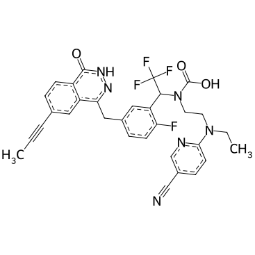 CC#Cc1ccc2c(=O)[nH]nc(Cc3ccc(F)c(C(N(CCN(CC)c4ccc(C#N)cn4)C(=O)O)C(F)(F)F)c3)c2c1